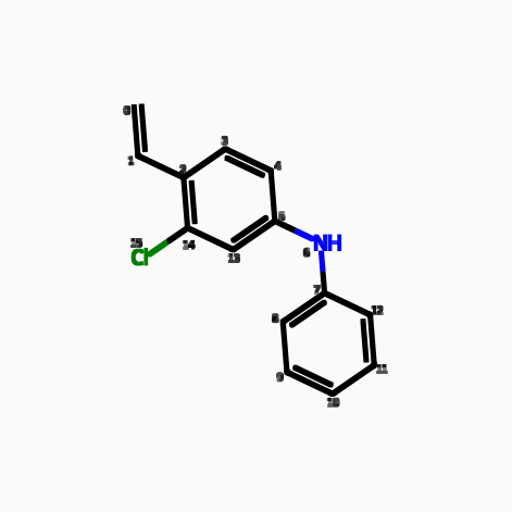 C=Cc1ccc(Nc2ccccc2)cc1Cl